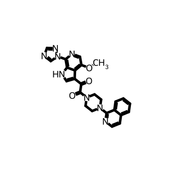 COc1cnc(-n2cncn2)c2[nH]cc(C(=O)C(=O)N3CCN(c4nccc5ccccc45)CC3)c12